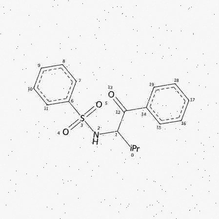 CC(C)C(NS(=O)(=O)c1ccccc1)C(=O)c1ccccc1